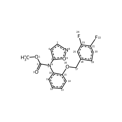 COC(=O)N(c1ccno1)c1ccccc1OCc1ccc(F)c(F)c1